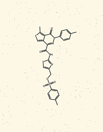 Cc1ccc(-n2nc(C(=O)Nc3nc(COS(=O)(=O)c4ccc(C)cc4)cs3)c3csc(C)c3c2=O)cc1